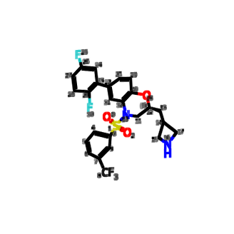 O=S(=O)(c1cccc(C(F)(F)F)c1)N1C[C@H](CC2CNC2)Oc2ccc(-c3cc(F)ccc3F)cc21